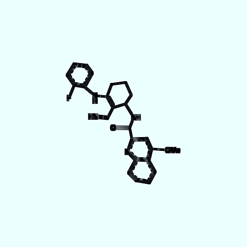 COc1cc(C(=O)NC2CCCC(Nc3ccccc3F)=C2C=N)nc2ccccc12